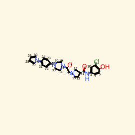 O=C(Nc1ccc(O)c(Cl)c1)[C@@H]1CCN(CC(=O)N2CCN(c3ccc(-n4cccc4)cc3)CC2)C1